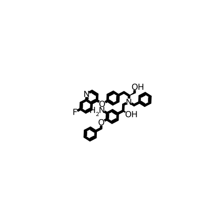 Nc1cc([C@H](O)CN(Cc2ccccc2)[C@H](CO)Cc2ccc(Oc3ccnc4cc(F)ccc34)cc2)ccc1OCc1ccccc1